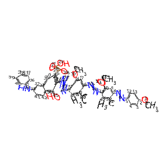 COc1ccc(N=Nc2cc(OC)c(N=Nc3cc(OC)c(N=Nc4c(S(=O)(=O)O)cc5cc(Nc6ccccc6)ccc5c4O)cc3C)cc2C)cc1